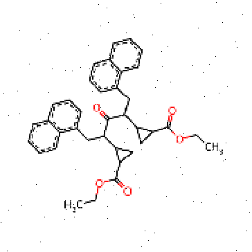 CCOC(=O)C1CC1C(Cc1cccc2ccccc12)C(=O)C(Cc1cccc2ccccc12)C1CC1C(=O)OCC